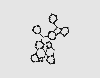 c1ccc(N(c2ccc3c(c2)C2(c4ccccc4Sc4ccccc42)c2cccc4cccc-3c24)c2ccc3c4ccccc4n(-c4ccccc4)c3c2)cc1